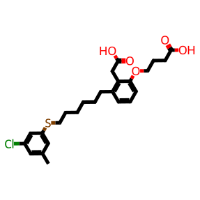 Cc1cc(Cl)cc(SCCCCCCc2cccc(OCCCC(=O)O)c2CC(=O)O)c1